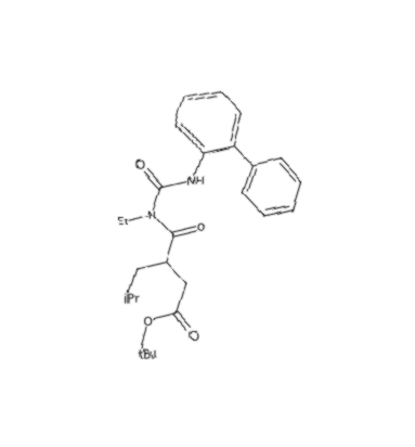 CCN(C(=O)Nc1ccccc1-c1ccccc1)C(=O)C(CC(=O)OC(C)(C)C)CC(C)C